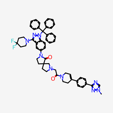 Cn1cnc(-c2ccc(C3=CCN(C(=O)CN4CCC5(CCN(c6ccc7c(c6)c(N6CCC(F)(F)CC6)nn7C(c6ccccc6)(c6ccccc6)c6ccccc6)C5=O)C4)CC3)cc2)n1